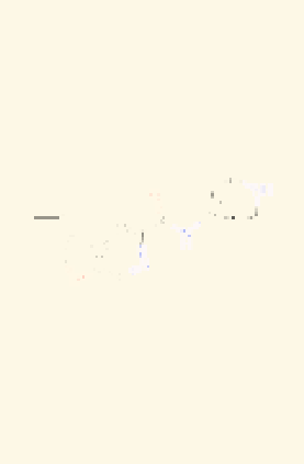 C=Cc1coc2cnc(C(=O)NC3CC4CC3CN4)cc12